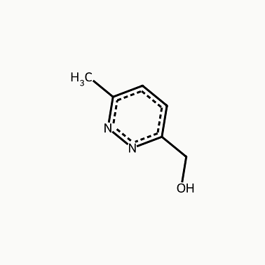 Cc1ccc(CO)nn1